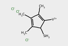 CC1=C(C)C([SiH3])[C]([V+3])=C1C.[Cl-].[Cl-].[Cl-]